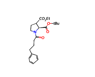 CCOC(=O)C1CCN(C(=O)CCCc2ccccc2)[C@@H]1C(=O)OC(C)(C)C